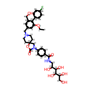 CCOc1cc(CN2CCC3(CC2)CN(c2ccc(C(=O)NCC(O)C(O)C(O)C(O)CO)cc2)C(=O)O3)cc(CO)c1-c1ccc(F)cc1